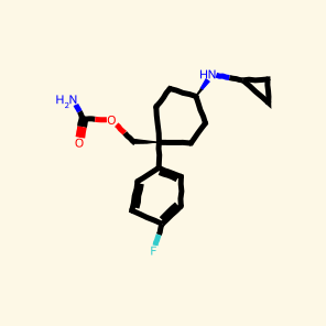 NC(=O)OC[C@]1(c2ccc(F)cc2)CC[C@H](NC2CC2)CC1